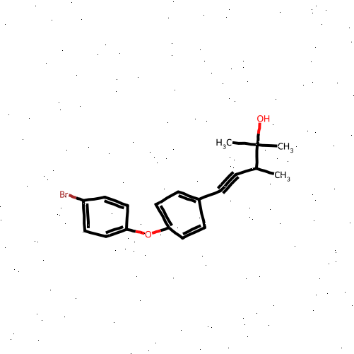 CC(C#Cc1ccc(Oc2ccc(Br)cc2)cc1)C(C)(C)O